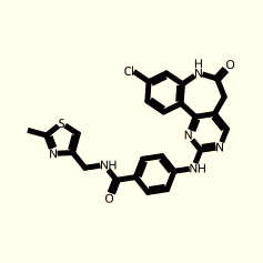 Cc1nc(CNC(=O)c2ccc(Nc3ncc4c(n3)-c3ccc(Cl)cc3NC(=O)C4)cc2)cs1